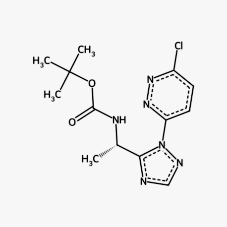 C[C@H](NC(=O)OC(C)(C)C)c1ncnn1-c1ccc(Cl)nn1